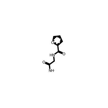 [NH]C(=O)CNC(=O)c1ccco1